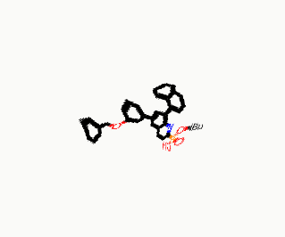 CCC(C)OP(=O)(O)c1ccc2cc(-c3cccc(OCc4ccccc4)c3)cc(-c3cccc4ccccc34)c2n1